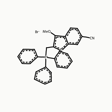 COc1c(C[P+](c2ccccc2)(c2ccccc2)c2ccccc2)sc2cc(C#N)ccc12.[Br-]